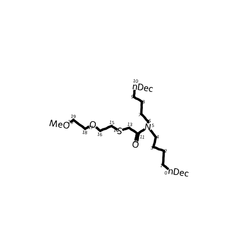 CCCCCCCCCCCCCCN(CCCCCCCCCCCCCC)C(=O)CSCCOCCOC